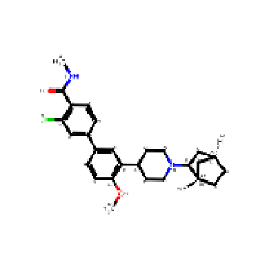 CNC(=O)c1ccc(-c2ccc(OC)c(C3CCN(C4C[C@H]5CC[C@H]4C5)CC3)c2)cc1Cl